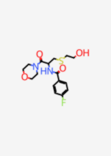 O=C(NC(CSCCO)C(=O)N1CCOCC1)c1ccc(F)cc1